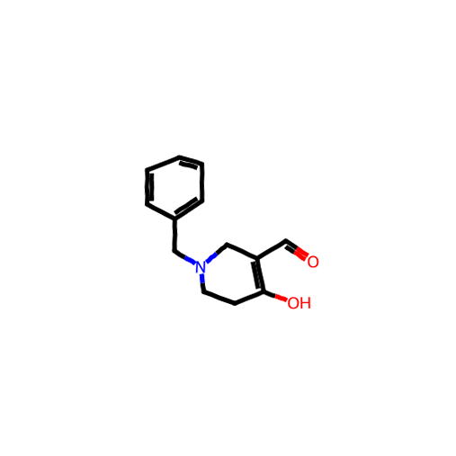 O=CC1=C(O)CCN(Cc2ccccc2)C1